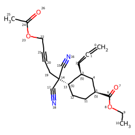 C=C=C[C@H]1C[C@@H](C(=O)OCC)CC[C@@H]1C(C#N)(C#N)CC#CCOC(C)=O